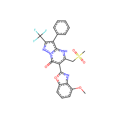 COc1cccc2oc(-c3c(CS(C)(=O)=O)[nH]c4c(-c5ccccc5)c(C(F)(F)F)nn4c3=O)nc12